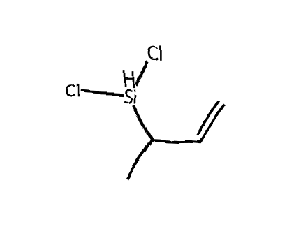 C=CC(C)[SiH](Cl)Cl